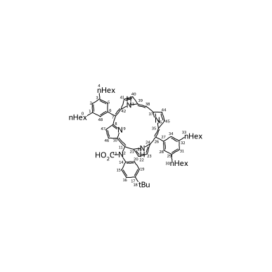 CCCCCCc1cc(CCCCCC)cc(-c2c3nc(c(N(C(=O)O)c4ccc(C(C)(C)C)cc4)c4ccc([nH]4)c(-c4cc(CCCCCC)cc(CCCCCC)c4)c4nc(cc5ccc2[nH]5)C=C4)C=C3)c1